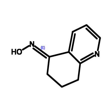 O/N=C1\CCCc2ncccc21